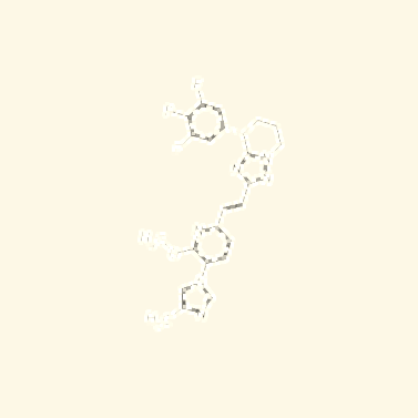 COc1nc(C=Cc2nc3n(n2)CCC[C@H]3c2cc(F)c(F)c(F)c2)ccc1-n1cnc(C)c1